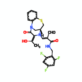 C/C(O)=C1/C(=O)N2C[C@H](CSc3ccccc32)N1/C=C(\C=O)C(=O)NCc1c(F)cc(F)cc1F